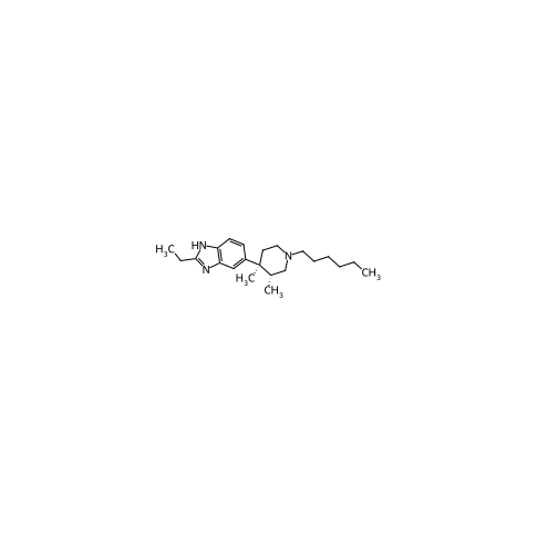 CCCCCCN1CC[C@](C)(c2ccc3[nH]c(CC)nc3c2)[C@@H](C)C1